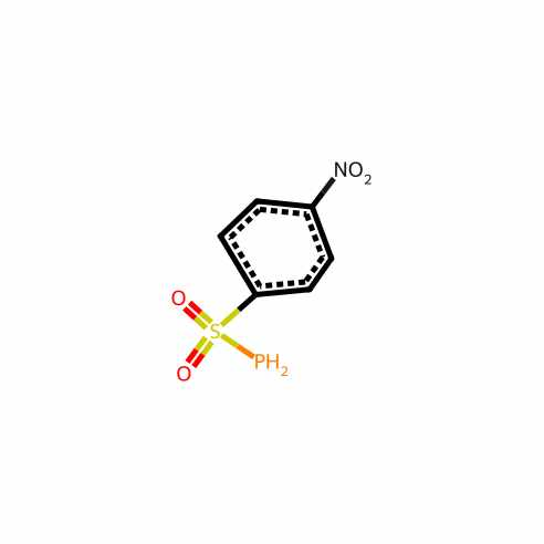 O=[N+]([O-])c1ccc(S(=O)(=O)P)cc1